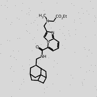 CCOC(=O)CN(C)Cc1cn2c(C(=O)NCC34CC5CC6CC(C3)C6(C5)C4)cccc2n1